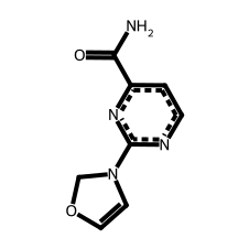 NC(=O)c1ccnc(N2C=COC2)n1